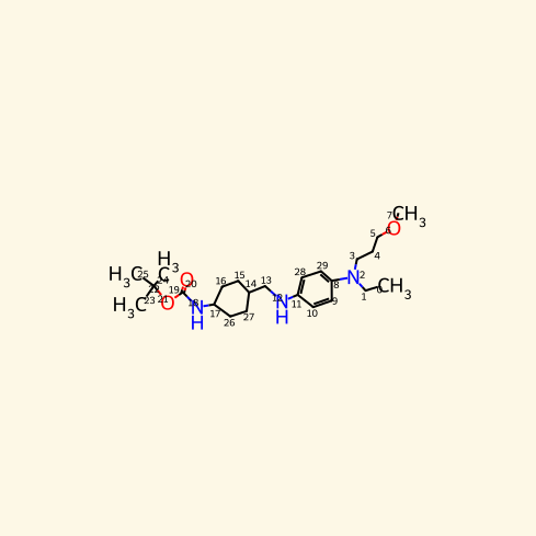 CCN(CCCOC)c1ccc(NCC2CCC(NC(=O)OC(C)(C)C)CC2)cc1